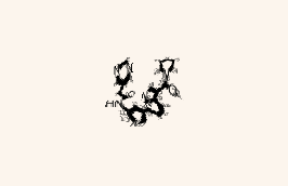 O=C(Cc1cncnc1)Nc1cncc(-c2cccc3c(C(=O)N4CCCCC4)cnn23)c1